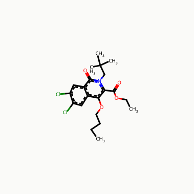 CCCCOc1c(C(=O)OCC)n(CC(C)(C)C)c(=O)c2cc(Cl)c(Cl)cc12